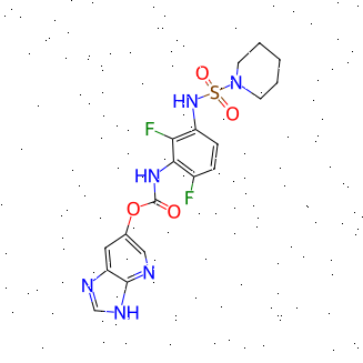 O=C(Nc1c(F)ccc(NS(=O)(=O)N2CCCCC2)c1F)Oc1cnc2[nH]cnc2c1